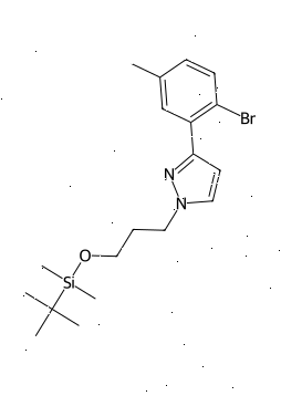 Cc1ccc(Br)c(-c2ccn(CCCO[Si](C)(C)C(C)(C)C)n2)c1